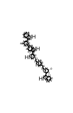 C[C@@H]1C=C(c2c[nH]c3ncccc23)CN(CCc2cnc(CC[C@H]3C=C(c4c[nH]c5nc(N6CC(c7c[nH]c8ncccc78)=C[C@@H](C)C6)ccc45)CNC3)nc2)C1